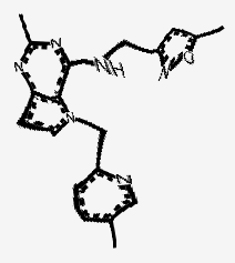 Cc1ccc(Cn2ccc3nc(C)nc(NCc4cc(C)on4)c32)nc1